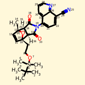 CC(C)(C)[Si](C)(C)OCC[C@@]12C=C[C@@](C)(O1)[C@H]1C(=O)N(c3ccc(C#N)c4ncccc34)C(=O)[C@H]12